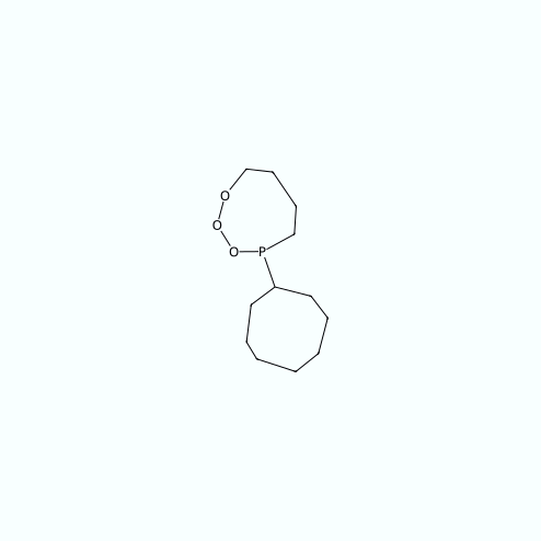 C1CCCC(P2CCCCOOO2)CCC1